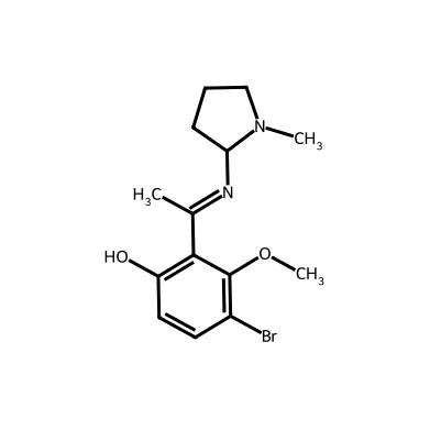 COc1c(Br)ccc(O)c1/C(C)=N/C1CCCN1C